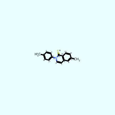 Cc1ccc(-n2ccc3cc(C)ccc3c2=S)cc1